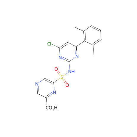 Cc1cccc(C)c1-c1cc(Cl)nc(NS(=O)(=O)c2cncc(C(=O)O)n2)n1